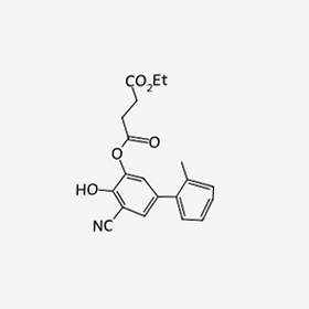 CCOC(=O)CCC(=O)Oc1cc(-c2ccccc2C)cc(C#N)c1O